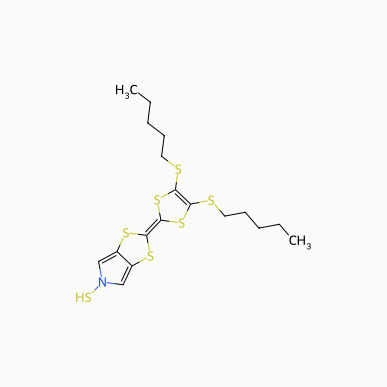 CCCCCSC1=C(SCCCCC)SC(=C2Sc3cn(S)cc3S2)S1